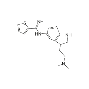 CN(C)CCC1CNc2ccc(NC(=N)c3cccs3)cc21